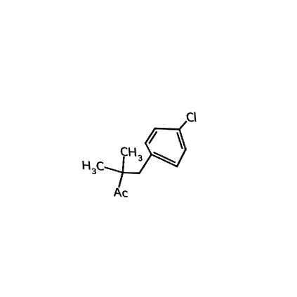 CC(=O)C(C)(C)Cc1ccc(Cl)cc1